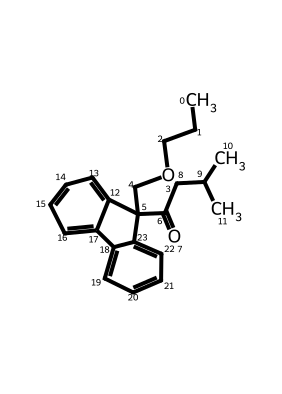 CCCOCC1(C(=O)CC(C)C)c2ccccc2-c2ccccc21